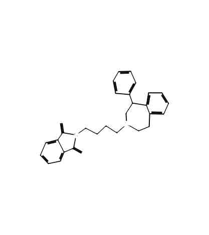 O=C1c2ccccc2C(=O)N1CCCCN1CCc2ccccc2C(c2ccccc2)C1